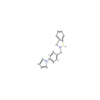 c1ccc2c(c1)CN(Cc1ccc(-n3cccc3)cc1)S2